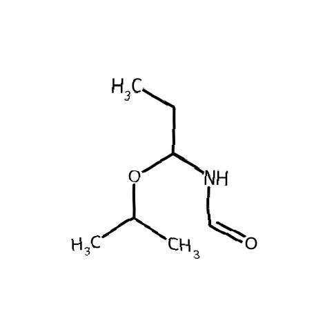 CCC(NC=O)OC(C)C